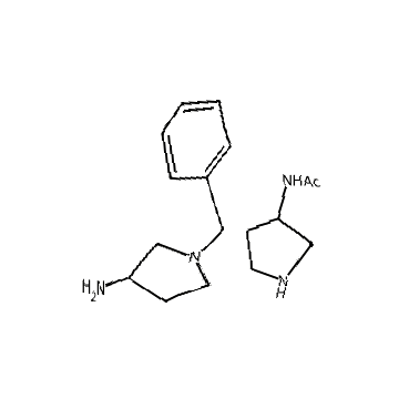 CC(=O)NC1CCNC1.NC1CCN(Cc2ccccc2)C1